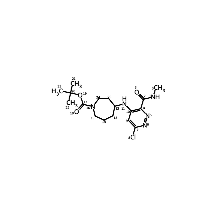 CNC(=O)c1nnc(Cl)cc1NC1CCCN(C(=O)OC(C)(C)C)CC1